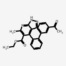 CCOC(=O)c1c(C)nc2[nH]ncc2c1-c1ccccc1-c1cccc(C(C)=O)c1